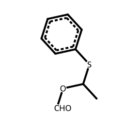 CC(OC=O)Sc1ccccc1